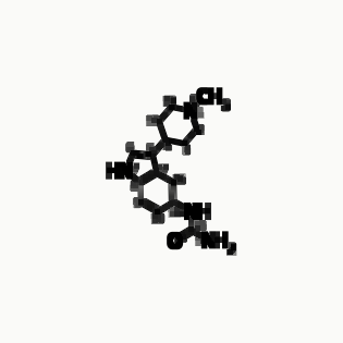 CN1CCC(c2c[nH]c3ccc(NC(N)=O)cc23)CC1